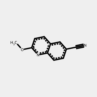 COc1ccc2cc(C#N)ccc2n1